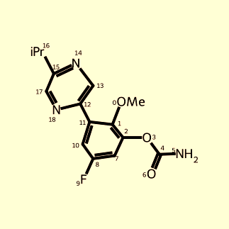 COc1c(OC(N)=O)cc(F)cc1-c1cnc(C(C)C)cn1